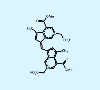 COC(=O)c1c[n+](CC(=O)O)cc2c1C(C)=C/C2=C/c1cc(C)c2c(C(=O)OC)cn(CC(=O)O)cc1-2